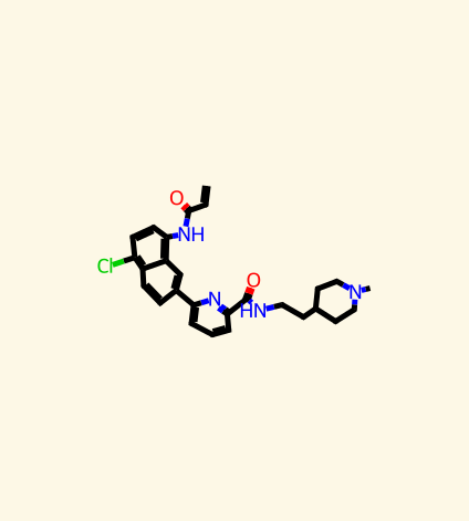 C=CC(=O)Nc1ccc(Cl)c2ccc(-c3cccc(C(=O)NCCC4CCN(C)CC4)n3)cc12